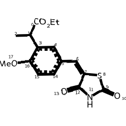 CCOC(=O)C(C)c1cc(C=C2SC(=O)NC2=O)ccc1OC